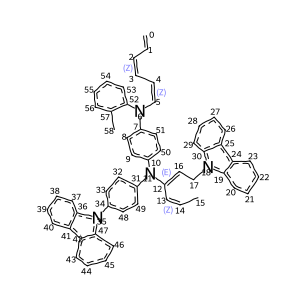 C=C/C=C\C=C/N(c1ccc(N(C(/C=C\C)=C/Cn2c3ccccc3c3ccccc32)c2ccc(-n3c4ccccc4c4ccccc43)cc2)cc1)c1ccccc1C